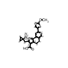 COc1ncc(-c2cc3c(cn2)CCc2c-3[nH]c(CC3(N)CC3)c2C(=O)O)s1